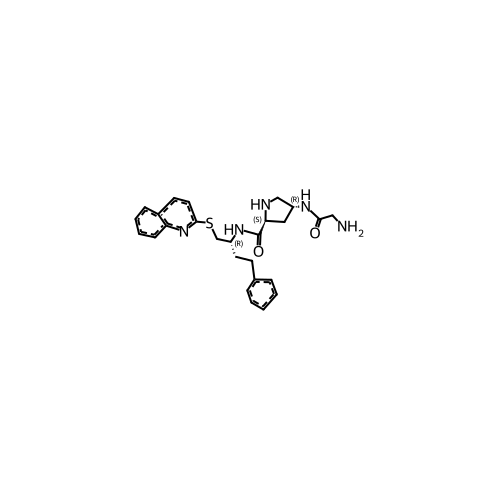 NCC(=O)N[C@H]1CN[C@H](C(=O)N[C@H](CCc2ccccc2)CSc2ccc3ccccc3n2)C1